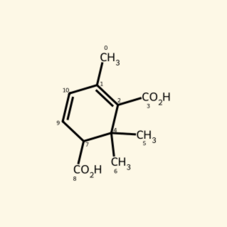 CC1=C(C(=O)O)C(C)(C)C(C(=O)O)C=C1